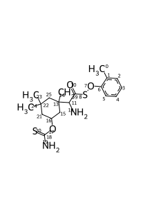 Cc1ccccc1OSC(=O)C(N)C1(C)CC(OC(N)=S)CC(C)(C)C1